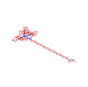 CC[C@H](O)[C@H](O)[C@@H](O)[C@H](O)CN(CC(NC[C@H](O)[C@@H](O)[C@H](O)[C@H](O)CO)C(=O)NCCOCCOCCOCCOCCOCCOCCOCCOCCOCCOCCOCCOCCC(C)=O)C[C@@H](O)[C@H](O)[C@@H](O)[C@@H](O)CO